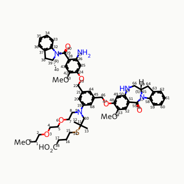 COCCOCCOCCN(CC(C)(C)SCCCC(=O)O)c1cc(COc2cc(N)c(C(=O)N3c4ccccc4C[C@H]3C)cc2OC)cc(COc2cc3c(cc2OC)C(=O)N2c4ccccc4C[C@H]2CN3)c1